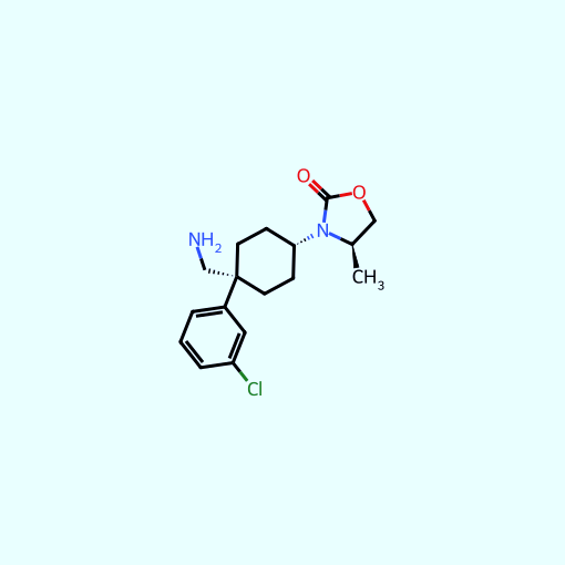 C[C@@H]1COC(=O)N1[C@H]1CC[C@](CN)(c2cccc(Cl)c2)CC1